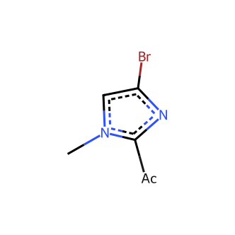 CC(=O)c1nc(Br)cn1C